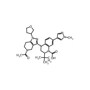 CC(=O)N1CCc2c(c(N3CC(C(C)(C)C)N(C(=O)O)c4cc(-c5cnn(C)c5)ccc43)nn2C2CCOC2)C1